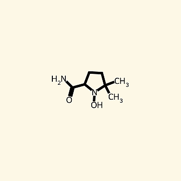 CC1(C)CCC(C(N)=O)N1O